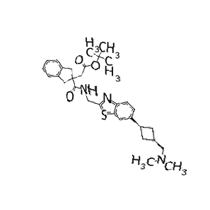 CN(C)C[C@H]1C[C@@H](c2ccc3nc(CNC(=O)C4(CC(=O)OC(C)(C)C)Cc5ccccc5C4)sc3c2)C1